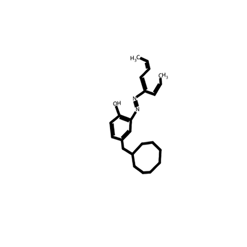 C\C=C/C=C(\C=C/C)/N=N/c1cc(CC2CCCCCCC2)ccc1O